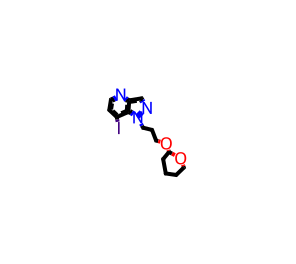 Ic1ccnc2cnn(CCCOC3CCCCO3)c12